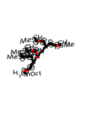 CCCCCCCCSC(C)C(=O)OCCOC(=O)CCN(CCCN(CCCNCCCN(CCC(=O)OCCOC(=O)C(C)SC)CCC(=O)OCCOC(=O)C(C)SC)CCC(=O)OCCOC(=O)C(C)SC)CCC(=O)OCCOC(=O)C(C)SC